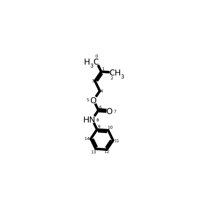 CC(C)=CCOC(=O)Nc1c[c]ccc1